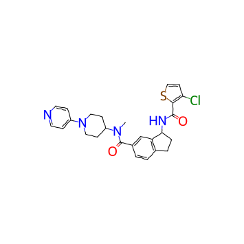 CN(C(=O)c1ccc2c(c1)C(NC(=O)c1sccc1Cl)CC2)C1CCN(c2ccncc2)CC1